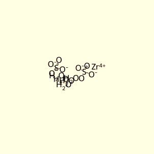 O.O.O.O.O.O=S(=O)([O-])[O-].O=S(=O)([O-])[O-].[Zr+4]